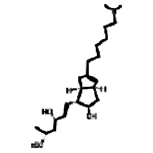 CCCC[C@H](C)C[C@H](O)/C=C/[C@@H]1[C@H]2CC(CCCCCCN(C)C)=C[C@H]2C[C@H]1O